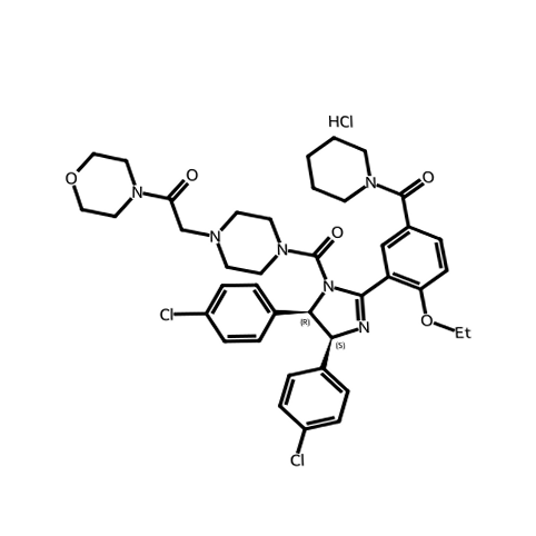 CCOc1ccc(C(=O)N2CCCCC2)cc1C1=N[C@@H](c2ccc(Cl)cc2)[C@@H](c2ccc(Cl)cc2)N1C(=O)N1CCN(CC(=O)N2CCOCC2)CC1.Cl